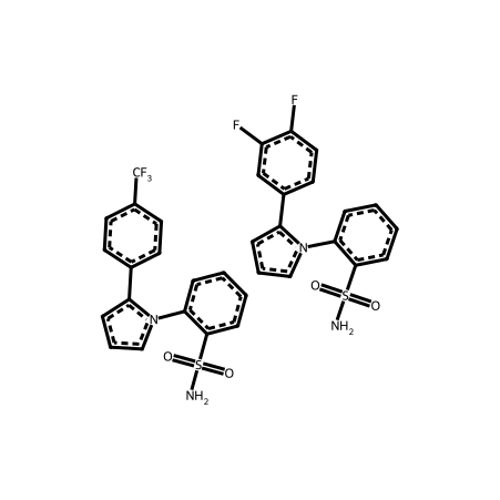 NS(=O)(=O)c1ccccc1-n1cccc1-c1ccc(C(F)(F)F)cc1.NS(=O)(=O)c1ccccc1-n1cccc1-c1ccc(F)c(F)c1